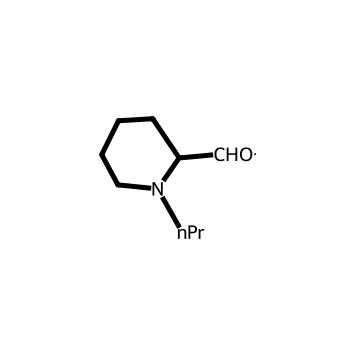 CCCN1CCCCC1[C]=O